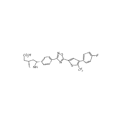 O=C(O)CC1CNC(c2ccc(-c3noc(-c4cc(-c5ccc(F)cc5)c(C(F)(F)F)s4)n3)cc2)C1